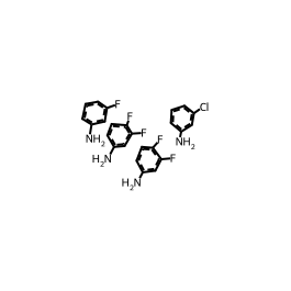 Nc1ccc(F)c(F)c1.Nc1ccc(F)c(F)c1.Nc1cccc(Cl)c1.Nc1cccc(F)c1